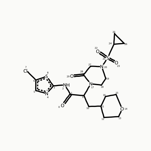 O=C(Nc1ncc(Cl)s1)C(CC1CCOCC1)N1CCN(S(=O)(=O)C2CC2)CC1=O